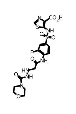 O=C(CNNC(=O)N1CCOCC1)Nc1ccc(S(=O)(=O)Nc2scnc2C(=O)O)cc1F